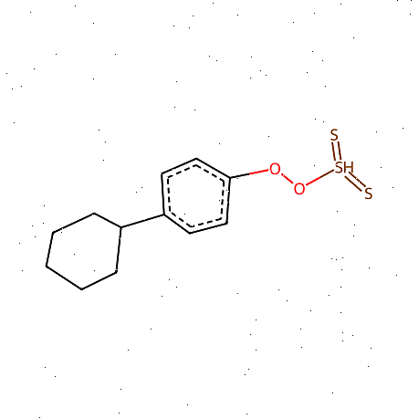 S=[SH](=S)OOc1ccc(C2CCCCC2)cc1